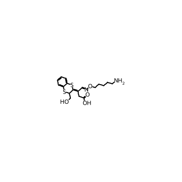 NCCCCCO/N=C/C(CC(=O)O)=C1\Sc2ccccc2SC1CO